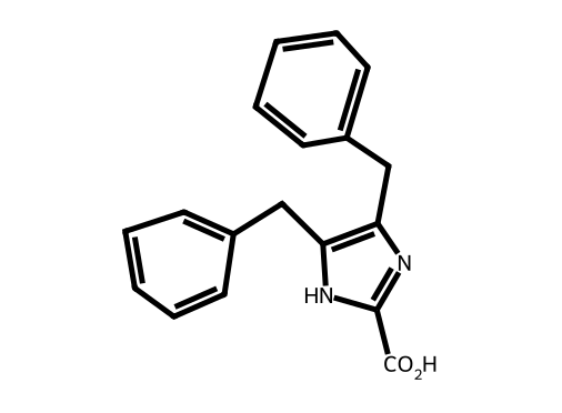 O=C(O)c1nc(Cc2ccccc2)c(Cc2ccccc2)[nH]1